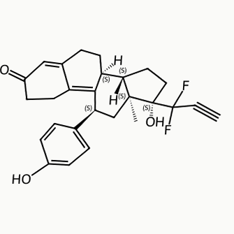 C#CC(F)(F)[C@]1(O)CC[C@H]2[C@@H]3CCC4=CC(=O)CCC4=C3[C@H](c3ccc(O)cc3)C[C@@]21C